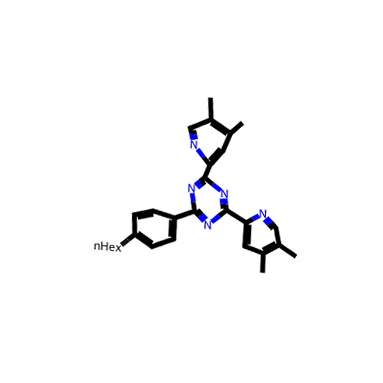 CCCCCCc1ccc(-c2nc(-c3cc(C)c(C)cn3)nc(-c3cc(C)c(C)cn3)n2)cc1